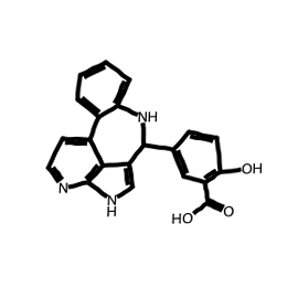 O=C(O)c1cc(C2Nc3ccccc3-c3ccnc4[nH]cc2c34)ccc1O